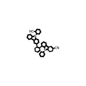 N#CC1=Cc2c(n(-c3ccccc3)c3c(C4=C(c5ccc6c(c5)c5ccccc5n6-c5ccccc5C#N)CCC=C4)cccc23)CC1